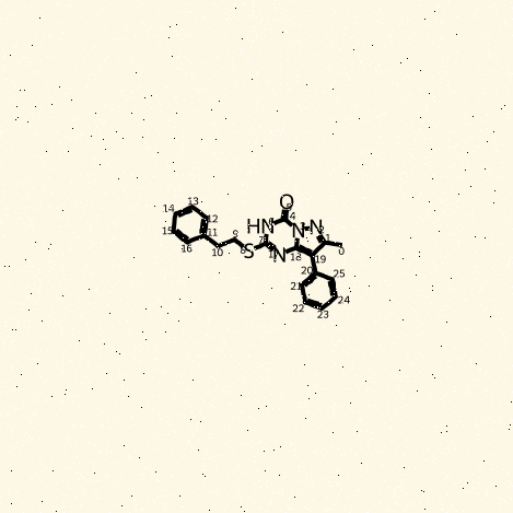 Cc1nn2c(=O)[nH]c(SCCc3ccccc3)nc2c1-c1ccccc1